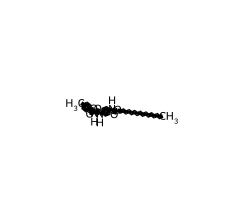 CCCCCCCCCCCCCCCCOC(=O)Nc1ccc(NC(=O)NS(=O)(=O)c2ccc(C)cc2)cc1